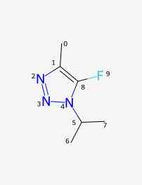 Cc1nnn(C(C)C)c1F